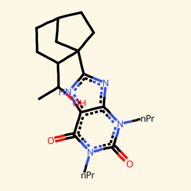 CCCn1c(=O)c2[nH]c(C34CCC(CCC3C(C)O)C4)nc2n(CCC)c1=O